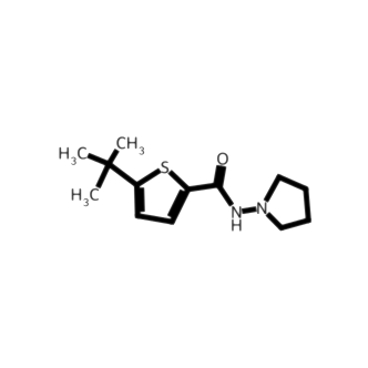 CC(C)(C)c1ccc(C(=O)NN2CCCC2)s1